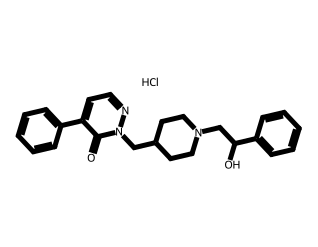 Cl.O=c1c(-c2ccccc2)ccnn1CC1CCN(CC(O)c2ccccc2)CC1